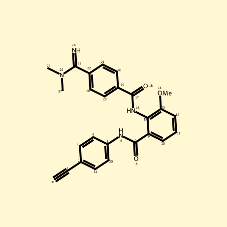 C#Cc1ccc(NC(=O)c2cccc(OC)c2NC(=O)c2ccc(C(=N)N(C)C)cc2)cc1